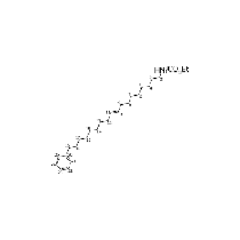 CCOC(=O)NCCCCCCCCC=CCCCCCCCCc1ccccc1